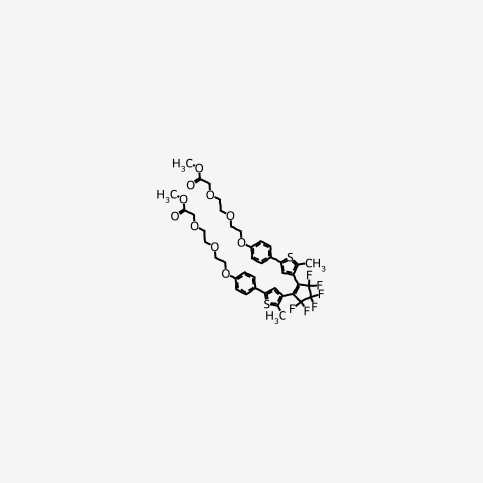 COC(=O)COCCOCCOc1ccc(-c2cc(C3=C(c4cc(-c5ccc(OCCOCCOCC(=O)OC)cc5)sc4C)C(F)(F)C(F)(F)C3(F)F)c(C)s2)cc1